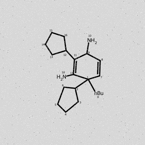 CCCCC1(C2CCCC2)C=CC(N)C(C2CCCC2)=C1N